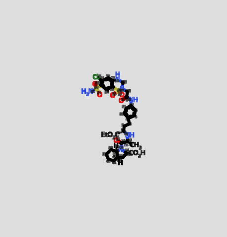 CCOC(=O)[C@H](CCc1ccc(NC(=O)CN2CNc3cc(Cl)c(S(N)(=O)=O)cc3S2(=O)=O)cc1)N[C@@H](C)C(=O)N1[C@@H]2CCCC[C@@H]2C[C@H]1C(=O)O